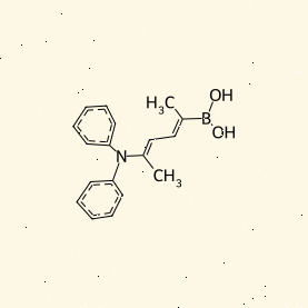 C/C(=C\C=C(/C)N(c1ccccc1)c1ccccc1)B(O)O